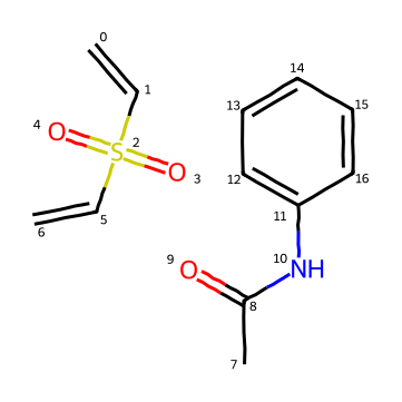 C=CS(=O)(=O)C=C.CC(=O)Nc1ccccc1